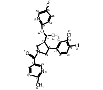 Cc1ncc(C(=O)N2C[C@@H]([C@H](C)Oc3ccc(Cl)cn3)[C@@H](c3ccc(Cl)c(Cl)c3)C2)cn1